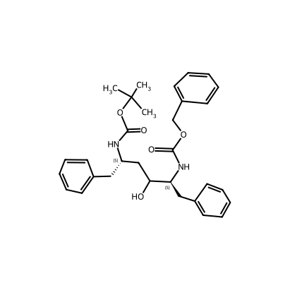 CC(C)(C)OC(=O)N[C@@H](Cc1ccccc1)CC(O)[C@H](Cc1ccccc1)NC(=O)OCc1ccccc1